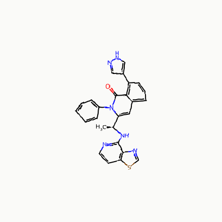 C[C@H](Nc1nccc2scnc12)c1cc2cccc(-c3cn[nH]c3)c2c(=O)n1-c1ccccc1